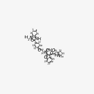 Nc1ccccc1NC(=O)c1ccc(OCCN(C=O)c2oc3ccccc3c2OCCC2CCCN2)cc1